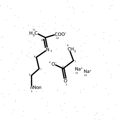 CCC(=O)[O-].CCCCCCCCCCCCN=C(C)C(=O)[O-].[Na+].[Na+]